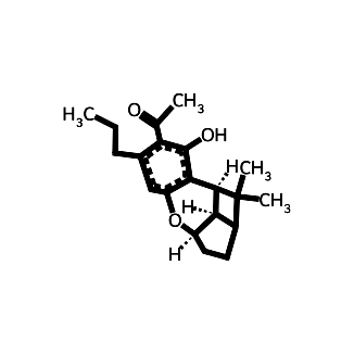 CCCc1cc2c(c(O)c1C(C)=O)[C@@H]1[C@H]3C(CC[C@H]3O2)C1(C)C